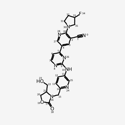 N#Cc1cc(-c2ccnc(Nc3ccc(CN4C(=O)OCC4CO)nc3)n2)cnc1N1CCC(F)C1